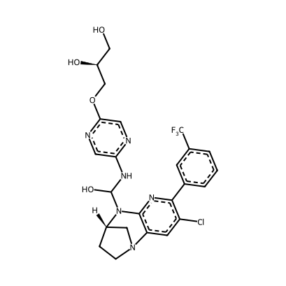 OC[C@H](O)COc1cnc(NC(O)N2c3nc(-c4cccc(C(F)(F)F)c4)c(Cl)cc3N3CC[C@H]2C3)cn1